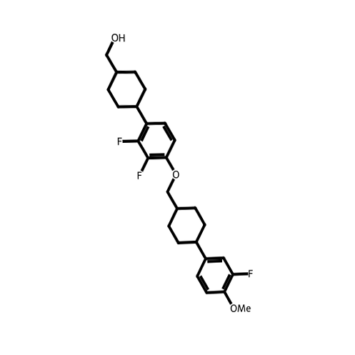 COc1ccc(C2CCC(COc3ccc(C4CCC(CO)CC4)c(F)c3F)CC2)cc1F